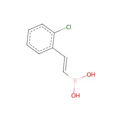 OB(O)C=Cc1ccccc1Cl